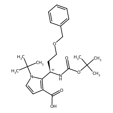 CC(C)(C)OC(=O)N[C@H](CCOCc1ccccc1)c1c(C(=O)O)ccn1C(C)(C)C